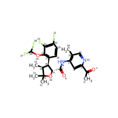 CC(=O)c1cc(NC(=O)[C@@H]2OC(C)(C)[C@@H](C)[C@H]2c2ccc(F)c(F)c2OC(F)F)c(C)cn1